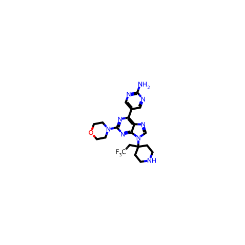 Nc1ncc(-c2nc(N3CCOCC3)nc3c2ncn3C2(CC(F)(F)F)CCNCC2)cn1